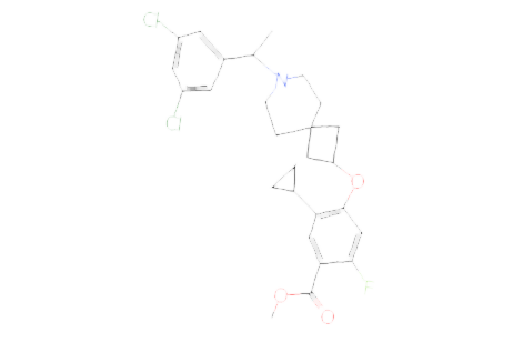 COC(=O)c1cc(C2CC2)c(OC2CC3(CCN(C(C)c4cc(Cl)cc(Cl)c4)CC3)C2)cc1F